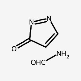 NC=O.O=C1C=CN=N1